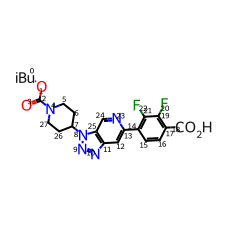 CC[C@@H](C)OC(=O)N1CCC(n2nnc3cc(-c4ccc(C(=O)O)c(F)c4F)ncc32)CC1